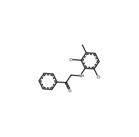 Cc1ccc(Cl)c(NCC(=O)c2ccccc2)c1Cl